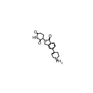 O=C1CCC(N2Cc3cc(C4=CCN(P)CC4)ccc3C2=O)C(=O)N1